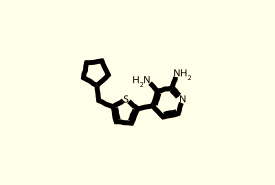 Nc1nccc(-c2ccc(CC3CCCC3)s2)c1N